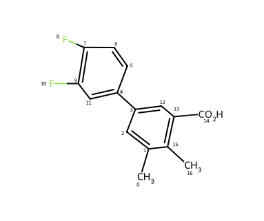 Cc1cc(-c2ccc(F)c(F)c2)cc(C(=O)O)c1C